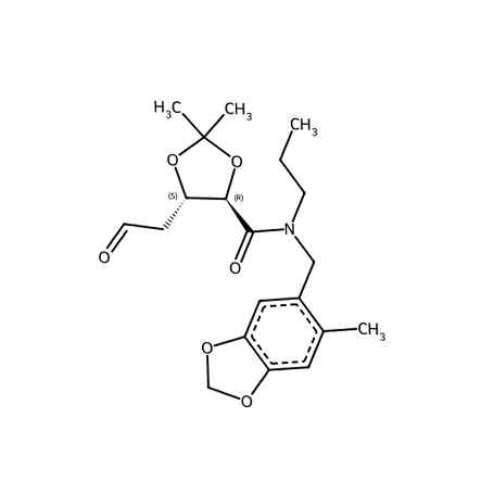 CCCN(Cc1cc2c(cc1C)OCO2)C(=O)[C@@H]1OC(C)(C)O[C@H]1CC=O